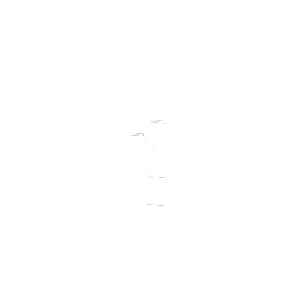 CC(C)(C)NC(=O)C(=O)NCC1CCCCC1